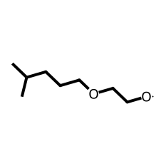 CC(C)CCCOCC[O]